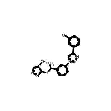 CC(Sc1nncn1C)c1cccc(-n2cc(-c3cccc(Cl)c3)nn2)c1